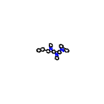 c1ccc(-n2c3ccc(-n4c5ccccc5c5ccccc54)cc3c3cc4c(cc32)c2ccc(-c3ccc5ccccc5c3)cc2n4-c2ccccc2)cc1